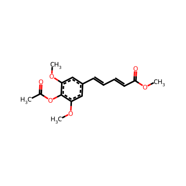 COC(=O)/C=C/C=C/c1cc(OC)c(OC(C)=O)c(OC)c1